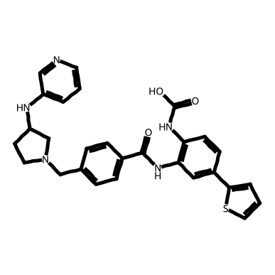 O=C(O)Nc1ccc(-c2cccs2)cc1NC(=O)c1ccc(CN2CCC(Nc3cccnc3)C2)cc1